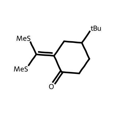 CSC(SC)=C1CC(C(C)(C)C)CCC1=O